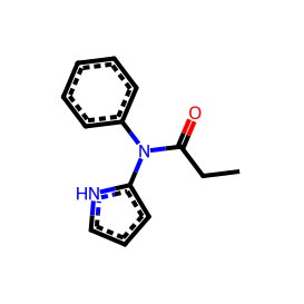 CCC(=O)N(c1ccccc1)c1ccc[nH]1